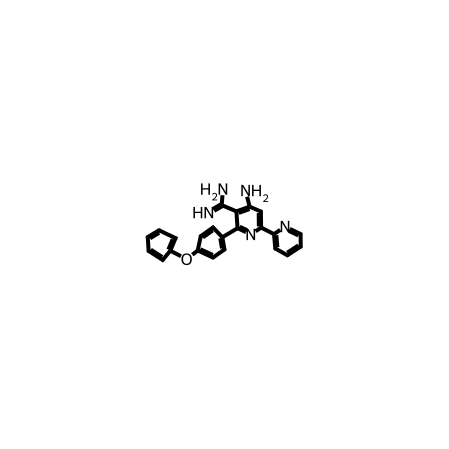 N=C(N)c1c(N)cc(-c2ccccn2)nc1-c1ccc(Oc2ccccc2)cc1